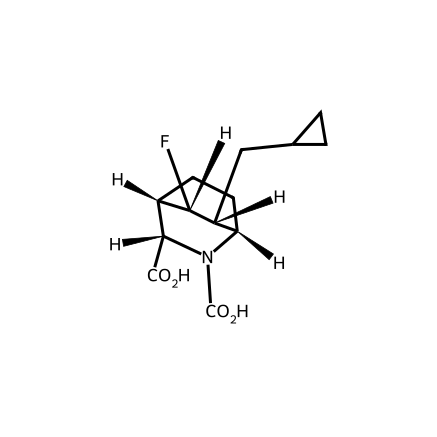 O=C(O)[C@@H]1[C@@H]2CC[C@@H]([C@@H](CC3CC3)[C@H]2F)N1C(=O)O